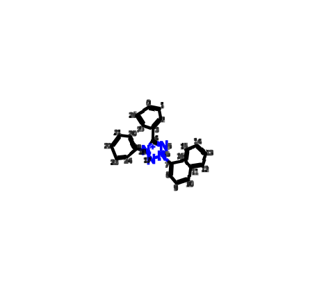 c1ccc(-c2nn(-c3cccc4ccccc34)n[n+]2-c2ccccc2)cc1